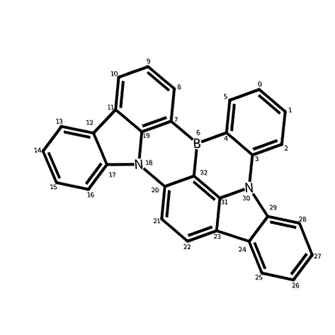 c1ccc2c(c1)B1c3cccc4c5ccccc5n(c34)-c3ccc4c5ccccc5n-2c4c31